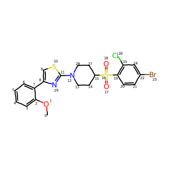 COc1ccccc1-c1csc(N2CCC(S(=O)(=O)c3ccc(Br)cc3Cl)CC2)n1